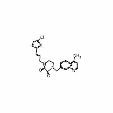 Nc1ccnc2cc(CN3CCN(CC=Cc4ccc(Cl)s4)C(=O)C3=O)ccc12